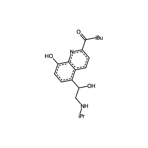 CCC(C)C(=O)c1ccc2c(C(O)CNC(C)C)ccc(O)c2n1